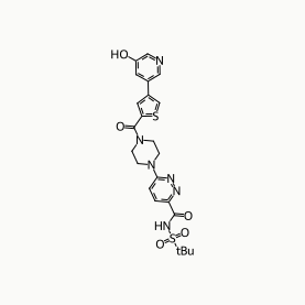 CC(C)(C)S(=O)(=O)NC(=O)c1ccc(N2CCN(C(=O)c3cc(-c4cncc(O)c4)cs3)CC2)nn1